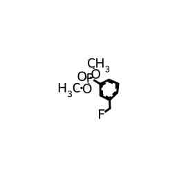 COP(=O)(OC)c1cccc(CF)c1